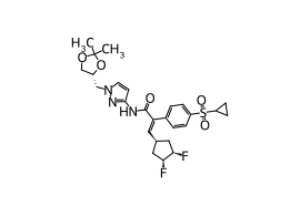 CC1(C)OC[C@@H](Cn2ccc(NC(=O)/C(=C/[C@H]3C[C@@H](F)[C@@H](F)C3)c3ccc(S(=O)(=O)C4CC4)cc3)n2)O1